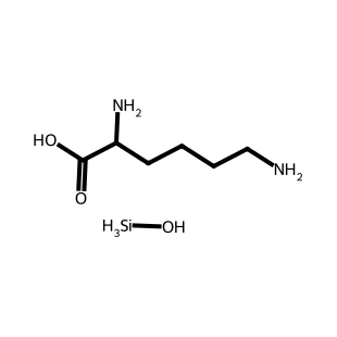 NCCCCC(N)C(=O)O.O[SiH3]